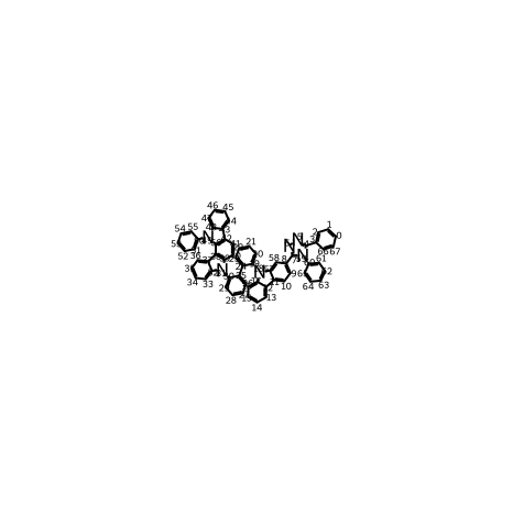 c1ccc(-c2nnc(-c3ccc4c5ccccc5n(-c5ccccc5-c5ccccc5-n5c6ccccc6c6c5ccc5c7ccccc7n(-c7ccccc7)c56)c4c3)n2-c2ccccc2)cc1